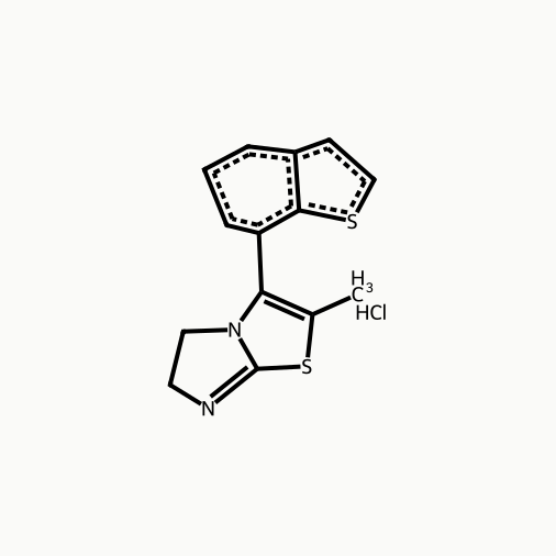 CC1=C(c2cccc3ccsc23)N2CCN=C2S1.Cl